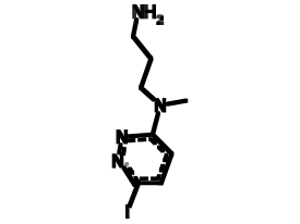 CN(CCCN)c1ccc(I)nn1